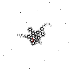 CCCCc1ccc(N(c2ccccc2)c2ccc3c(c2)N(c2ccccc2)B2c4cc5c(cc4N(c4ccc(CCCC)cc4-c4ccccc4)c4cc(-c6ccccc6)cc-3c42)-c2ccccc2C5(C)C)cc1